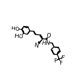 N#C/C(=C\C=C\c1ccc(O)c(O)c1)C(=O)NCc1ccc(C(F)(F)F)cc1